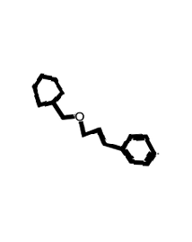 [c]1ccc(CCCOCC2CCCCC2)cc1